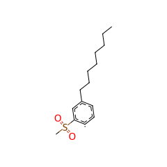 CCCCCCCCc1cc[c]c(S(C)(=O)=O)c1